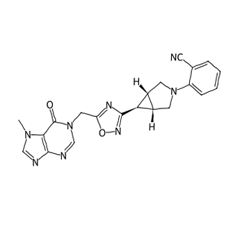 Cn1cnc2ncn(Cc3nc([C@H]4[C@@H]5CN(c6ccccc6C#N)C[C@@H]54)no3)c(=O)c21